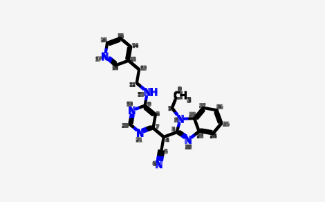 CCn1c(C(C#N)c2cc(NCCc3cccnc3)ncn2)nc2ccccc21